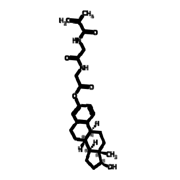 C=C(C)C(=O)NCC(=O)NCC(=O)Oc1ccc2c(c1)CC[C@@H]1[C@@H]2CC[C@]2(C)[C@@H](O)CC[C@@H]12